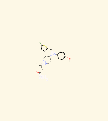 COc1ccc(N(Cc2ccc(Cl)s2)C2CCN(C(C)CC(N)=O)CC2)cc1